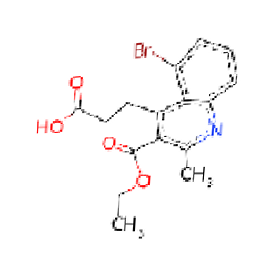 CCOC(=O)c1c(C)nc2cccc(Br)c2c1CCC(=O)O